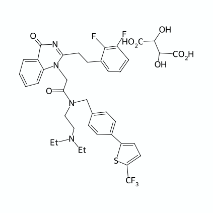 CCN(CC)CCN(Cc1ccc(-c2ccc(C(F)(F)F)s2)cc1)C(=O)Cn1c(CCc2cccc(F)c2F)nc(=O)c2ccccc21.O=C(O)C(O)C(O)C(=O)O